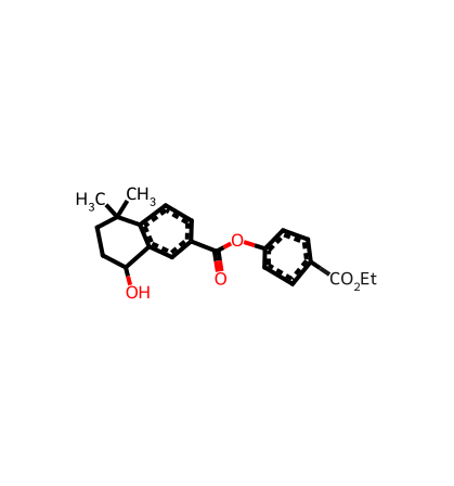 CCOC(=O)c1ccc(OC(=O)c2ccc3c(c2)C(O)CCC3(C)C)cc1